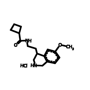 COc1ccc2c(c1)C(CCNC(=O)C1CCC1)CNC2.Cl